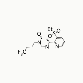 CCS(=O)(=O)c1cccnc1-c1cc(=O)n(CCCC(F)(F)F)cn1